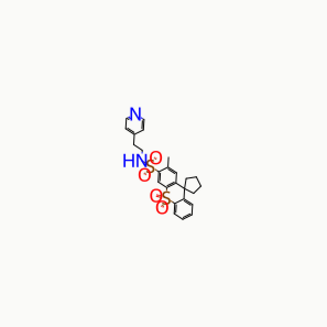 Cc1cc2c(cc1S(=O)(=O)NCCc1ccncc1)S(=O)(=O)c1ccccc1C21CCCC1